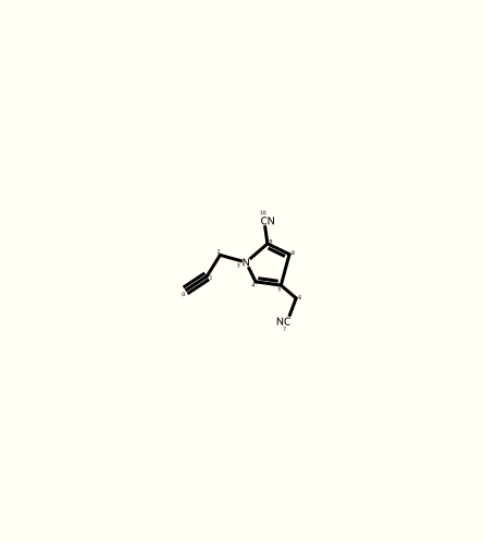 C#CCn1cc([CH]C#N)cc1C#N